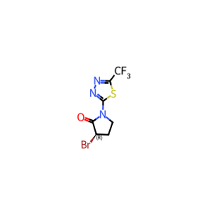 O=C1[C@H](Br)CCN1c1nnc(C(F)(F)F)s1